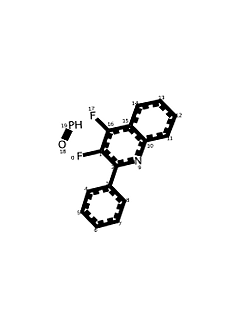 Fc1c(-c2ccccc2)nc2ccccc2c1F.O=P